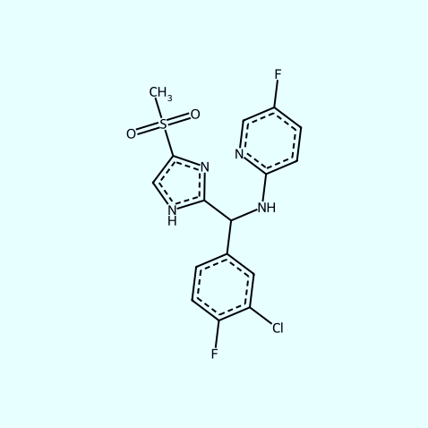 CS(=O)(=O)c1c[nH]c(C(Nc2ccc(F)cn2)c2ccc(F)c(Cl)c2)n1